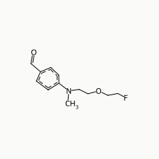 CN(CCOCCF)c1ccc(C=O)cc1